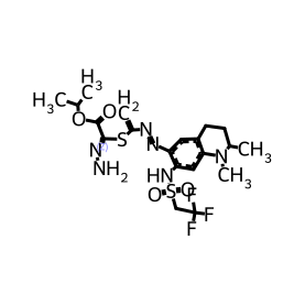 C=C(N=Nc1cc2c(cc1NS(=O)(=O)CC(F)(F)F)N(C)C(C)CC2)S/C(=N\N)C(=O)OC(C)C